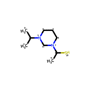 CC(C)N1CCCN(C(C)S)C1